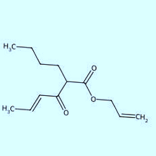 C=CCOC(=O)C(CCCC)C(=O)C=CC